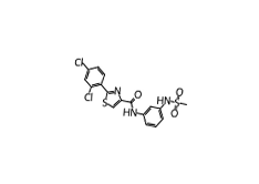 CS(=O)(=O)Nc1cccc(NC(=O)c2csc(-c3ccc(Cl)cc3Cl)n2)c1